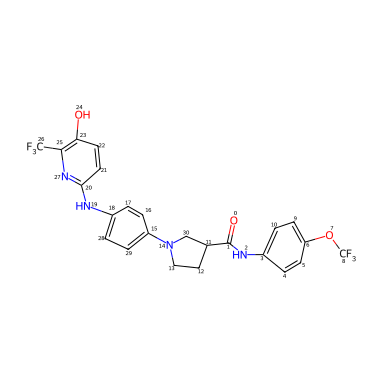 O=C(Nc1ccc(OC(F)(F)F)cc1)C1CCN(c2ccc(Nc3ccc(O)c(C(F)(F)F)n3)cc2)C1